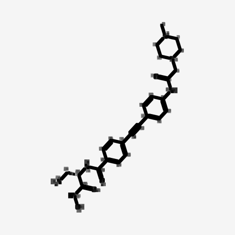 CN1CCN(CC(=O)Nc2ccc(C#Cc3ccc(C(=O)N[C@@H](CN)C(=O)NO)cc3)cc2)CC1